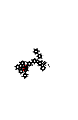 CC1(C)C2=C(CCC=C2)c2cc3c4cc(-c5ccc(N(c6ccc(-c7ccccc7)cc6)c6cccc7c6C6(c8ccccc8-c8ccccc86)c6ccccc6-7)cc5)ccc4n(-c4cccc(-c5ccccc5)c4)c3cc21